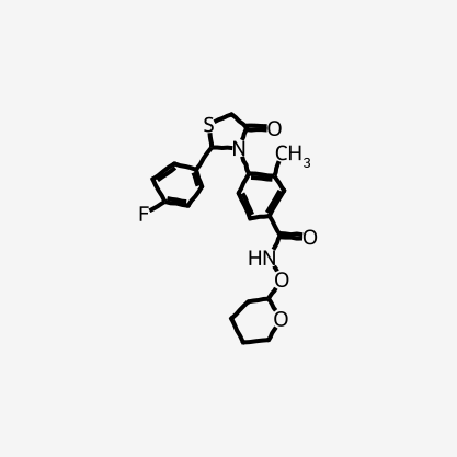 Cc1cc(C(=O)NOC2CCCCO2)ccc1N1C(=O)CSC1c1ccc(F)cc1